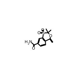 C=C1OC(C)(C)S(=O)(=O)c2cc(C(N)=O)ccc21